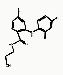 Cc1cc(I)ccc1Nc1cc(F)ccc1C(=O)NCCO